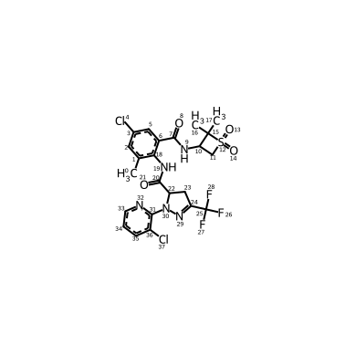 Cc1cc(Cl)cc(C(=O)NC2CS(=O)(=O)C2(C)C)c1NC(=O)C1CC(C(F)(F)F)=NN1c1ncccc1Cl